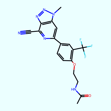 CC(=O)NCCOc1ccc(-c2cc3c(nnn3C)c(C#N)n2)cc1C(F)(F)F